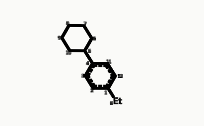 [CH2]Cc1ccc(C2CCCCC2)cc1